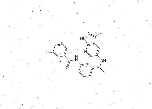 Cc1cncc(C(=O)Nc2cccc(C(C)Nc3cnc4[nH]nc(C)c4c3)c2)c1